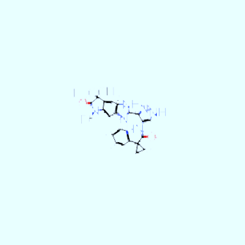 CCN1C(=O)C(C)(C)c2cc3[nH]c(-c4n[nH]cc4NC(=O)C4(c5ccccc5)CC4)nc3cc21